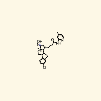 Cc1ccnc(NC(=O)CCC[C@@H]2C/C(=N\O)[C@@]3(C)CCC4c5ccc(Cl)cc5CCC4C23)c1